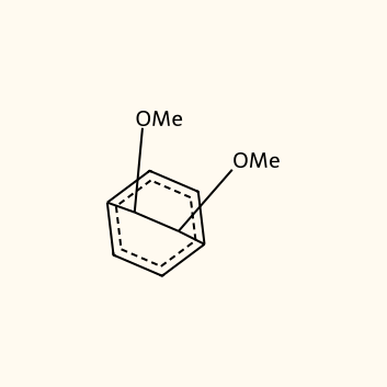 COC1c2ccc(cc2)C1OC